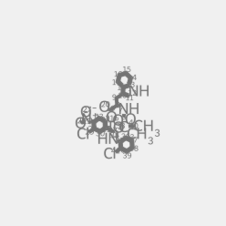 CC(C)(C)OC(=O)NC(Cc1c[nH]c2ccccc12)C(=O)Oc1cc([N+](=O)[O-])c(Cl)cc1C(=O)Nc1ccccc1Cl